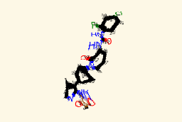 CS(=O)(=O)Nc1ncccc1-c1ccc(N2CCC[C@@H](NC(=O)Nc3ccc(Cl)cc3F)C2=O)cc1